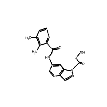 Cc1cccc(C(=O)Nc2ccc3cnn(C(=O)OC(C)(C)C)c3c2)c1N